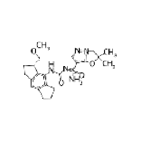 COC[C@H]1CCc2cc3c(c(NC(=O)N=[S@](N)(=O)c4cnn5c4OC(C)(C)C5)c21)CCC3